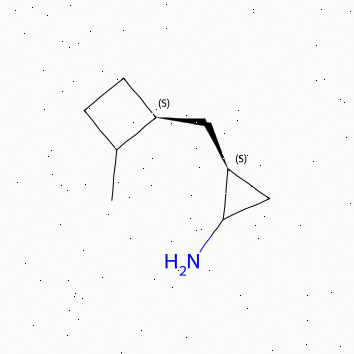 CC1CC[C@H]1C[C@H]1CC1N